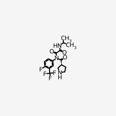 CC(C)NC(=O)C(=O)N(C(=O)[C@H]1CCNC1)c1ccc(F)c(C(F)(F)F)c1